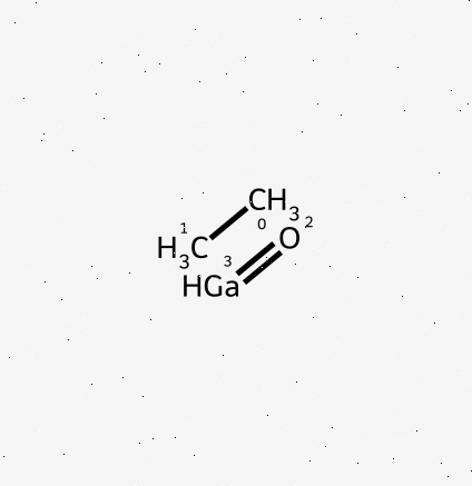 CC.[O]=[GaH]